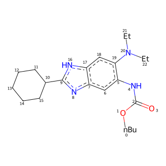 CCCCOC(=O)Nc1cc2nc(C3CCCCC3)[nH]c2cc1N(CC)CC